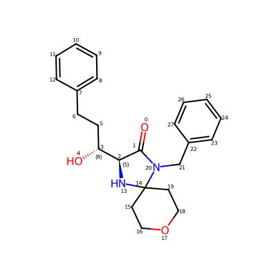 O=C1[C@H]([C@H](O)CCc2ccccc2)NC2(CCOCC2)N1Cc1ccccc1